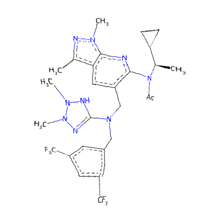 CC(=O)N(c1nc2c(cc1CN(Cc1cc(C(F)(F)F)cc(C(F)(F)F)c1)C1=NN(C)N(C)N1)c(C)nn2C)[C@H](C)C1CC1